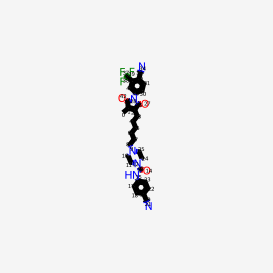 CC1=C(CCCCCCN2CCN(C(=O)Nc3ccc(C#N)cc3)CC2)C(=O)N(c2ccc(C#N)c(C(F)(F)F)c2)C1=O